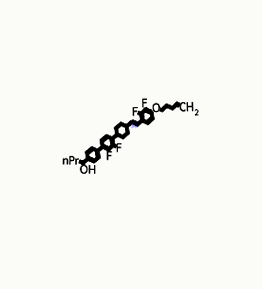 C=CCCCOc1ccc(/C=C/C2CCC(c3ccc(-c4ccc(C(O)CCC)cc4)c(F)c3F)CC2)c(F)c1F